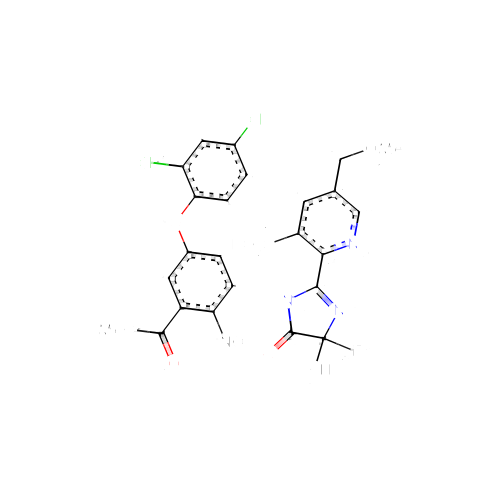 COC(=O)c1cc(Oc2ccc(Cl)cc2Cl)ccc1[N+](=O)[O-].COCc1cnc(C2=NC(C)(C(C)C)C(=O)N2)c(C(=O)O)c1